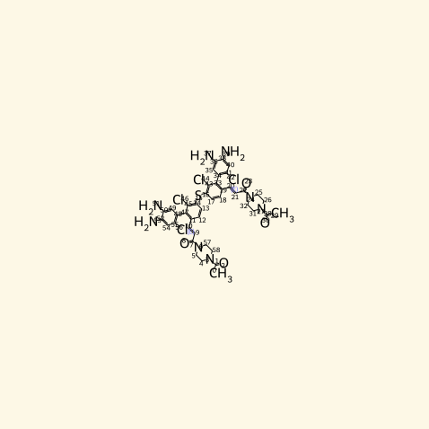 CC(=O)N1CCN(C(=O)/C=C/c2ccc(Sc3ccc(/C=C/C(=O)N4CCN(C(C)=O)CC4)c(-c4cc(N)c(N)cc4Cl)c3Cl)c(Cl)c2-c2cc(N)c(N)cc2Cl)CC1